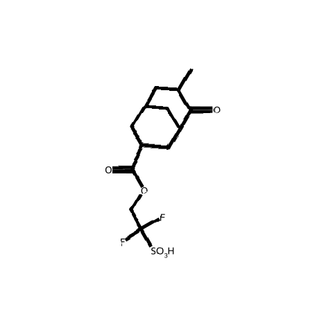 CC1CC2CC(C(=O)OCC(F)(F)S(=O)(=O)O)CC(C2)C1=O